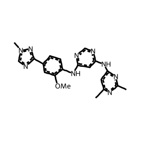 COc1cc(-c2ncn(C)n2)ccc1Nc1cc(Nc2cc(C)nc(C)n2)ncn1